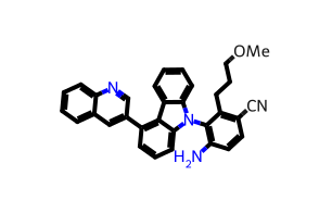 COCCCc1c(C#N)ccc(N)c1-n1c2ccccc2c2c(-c3cnc4ccccc4c3)cccc21